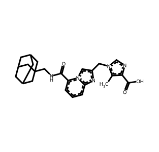 Cc1c(C(=O)O)ncn1Cc1cn2c(C(=O)NCC34CC5CC(CC(C5)C3)C4)cccc2n1